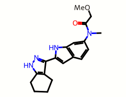 COCC(=O)N(C)c1ccc2cc(-c3n[nH]c4c3CCCC4)[nH]c2c1